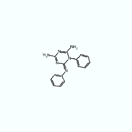 Nc1nc(N)n(-c2ccccc2)/c(=N/c2ccccc2)n1